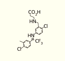 Cc1cc([C@H](Nc2ccc(Cl)c(CNCCC(=O)O)c2)C(F)(F)F)ccc1Cl